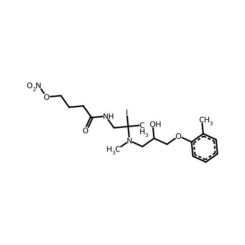 Cc1ccccc1OCC(O)CN(C)C(C)(I)CNC(=O)CCCO[N+](=O)[O-]